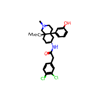 COC12CC[C@@H](NC(=O)Cc3ccc(Cl)c(Cl)c3)CC1(c1cccc(O)c1)CCN(C)C2